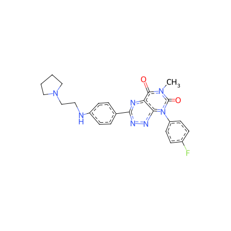 Cn1c(=O)c2nc(-c3ccc(NCCN4CCCC4)cc3)nnc2n(-c2ccc(F)cc2)c1=O